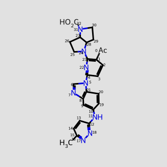 CC(=O)c1ccc(-n2cnc3cc(Nc4ccc(C)nn4)ccc32)nc1N1CCC2C1CCN2C(=O)O